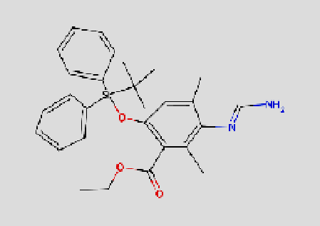 CCOC(=O)c1c(O[Si](c2ccccc2)(c2ccccc2)C(C)(C)C)cc(C)c(/N=C/N)c1C